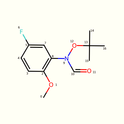 COc1ccc(F)cc1N(C=O)OC(C)(C)C